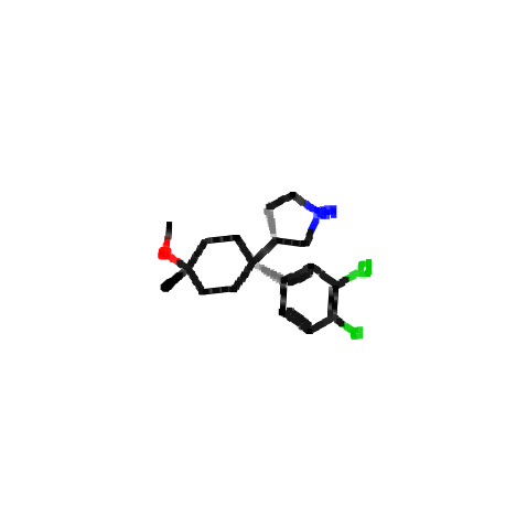 CO[C@]1(C)CC[C@@](c2ccc(Cl)c(Cl)c2)([C@@H]2CCNC2)CC1